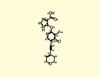 O=C(O)c1nn[nH]c1Oc1ncc(C#CC2=CCOCC2)c(Cl)c1F